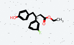 CCOC(=O)C[C@H](Cc1ccc(O)cc1)c1cccc(F)c1